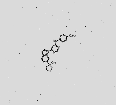 COc1ccc(Nc2cc(-n3ccc4ccc(C5(O)CCCC5)cc43)ncn2)cc1